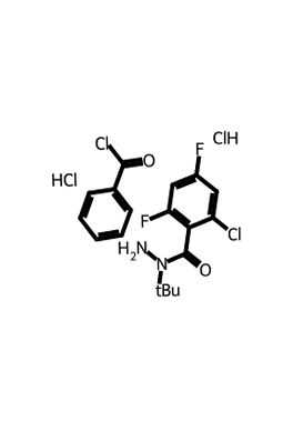 CC(C)(C)N(N)C(=O)c1c(F)cc(F)cc1Cl.Cl.Cl.O=C(Cl)c1ccccc1